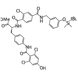 COC(=O)[C@H](Cc1ccc(NC(=O)c2c(Cl)cc(O)cc2Cl)cc1)NC(=O)c1ccc(C(=O)NCc2cccc(O[Si](C)(C)C(C)(C)C)c2)cc1Cl